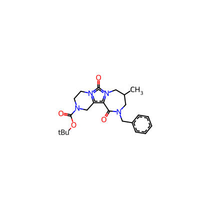 CC1CN(Cc2ccccc2)C(=O)c2c3n(c(=O)n2C1)CCN(C(=O)OC(C)(C)C)C3